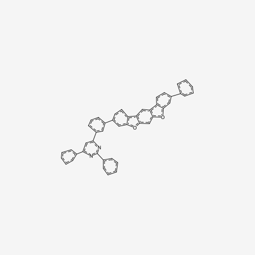 c1ccc(-c2ccc3c(c2)oc2cc4oc5cc(-c6cccc(-c7cc(-c8ccccc8)nc(-c8ccccc8)n7)c6)ccc5c4cc23)cc1